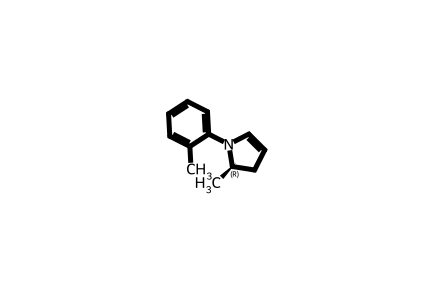 Cc1ccccc1N1C=CC[C@H]1C